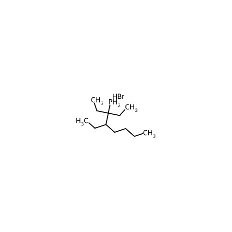 Br.CCCCC(CC)C(P)(CC)CC